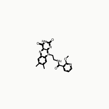 COc1ncccc1C(=O)NCCn1c2nc(=O)[nH]c(=O)c-2nc2cc(C)c(C)cc21